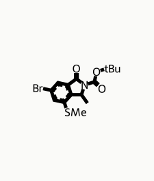 CSc1cc(Br)cc2c1C(C)N(C(=O)OC(C)(C)C)C2=O